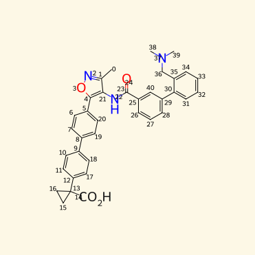 Cc1noc(-c2ccc(-c3ccc(C4(C(=O)O)CC4)cc3)cc2)c1NC(=O)c1cccc(-c2ccccc2CN(C)C)c1